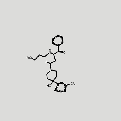 O=C(c1ccccc1)C(CC(F)N1CCC(O)(c2cccc(C(F)(F)F)c2)CC1)NCCCO